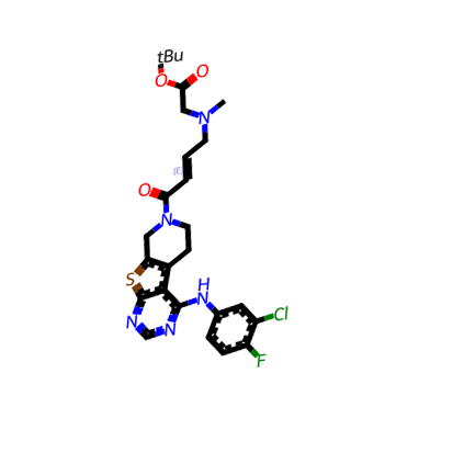 CN(C/C=C/C(=O)N1CCc2c(sc3ncnc(Nc4ccc(F)c(Cl)c4)c23)C1)CC(=O)OC(C)(C)C